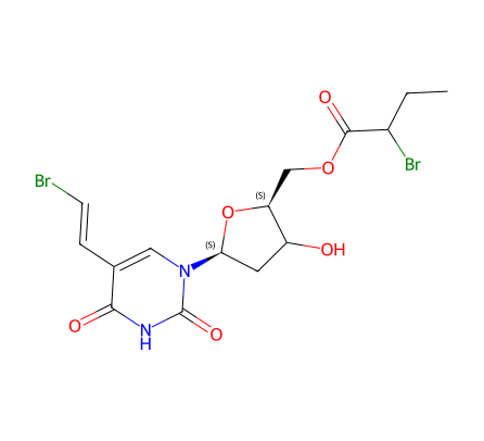 CCC(Br)C(=O)OC[C@@H]1O[C@H](n2cc(C=CBr)c(=O)[nH]c2=O)CC1O